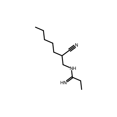 CCCCCC(C#N)CNC(=N)CC